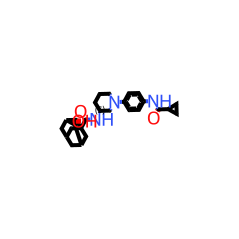 O=C(Nc1ccc(N2CCC[C@H](NC(=O)C34CC5CC(C3)C(O)C(C5)C4)C2)cc1)C1CC1